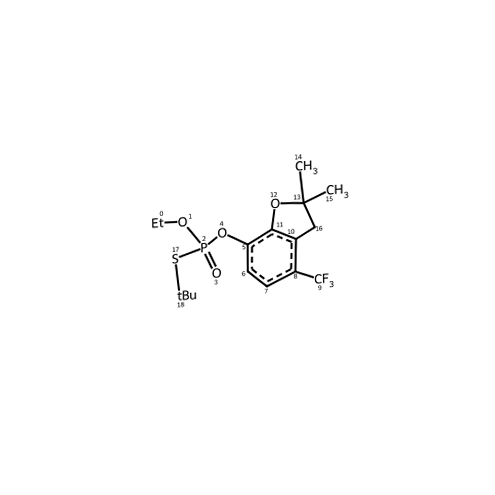 CCOP(=O)(Oc1ccc(C(F)(F)F)c2c1OC(C)(C)C2)SC(C)(C)C